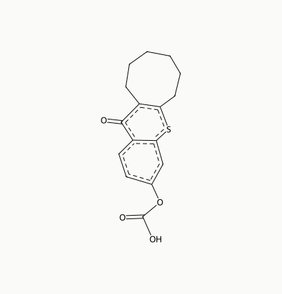 O=C(O)Oc1ccc2c(=O)c3c(sc2c1)CCCCCC3